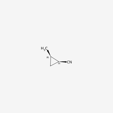 C[C@@H]1C[C@@H]1C#N